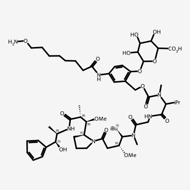 CC[C@H](C)C([C@@H](CC(=O)N1CCC[C@H]1[C@H](OC)[C@@H](C)C(=O)N[C@H](C)[C@@H](O)c1ccccc1)OC)N(C)C(=O)CNC(=O)C(C(C)C)N(C)C(=O)OCc1cc(NC(=O)CCCCCCCON)ccc1OC1OC(C(=O)O)C(O)C(O)C1O